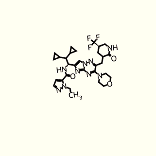 CCn1nccc1C(=O)N[C@H](c1cn2nc(CC3C[C@@H](C(F)(F)F)CNC3=O)c(N3CCOCC3)nc2n1)C(C1CC1)C1CC1